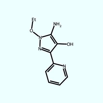 CCOn1nc(-c2ccccn2)c(O)c1N